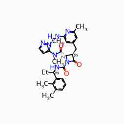 CC[C@@H](NC(=O)N1C(=O)[C@H](Cc2cc(C)nc(N)c2)[C@H]1C(=O)N(C)c1ccnn1C)c1cccc(C)c1C